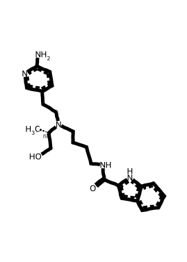 C[C@@H](CO)N(CCCCNC(=O)c1cc2ccccc2[nH]1)CCc1ccc(N)nc1